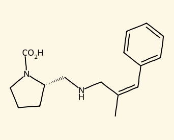 CC(=Cc1ccccc1)CNC[C@@H]1CCCN1C(=O)O